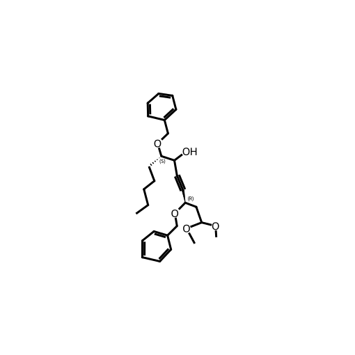 CCCCC[C@H](OCc1ccccc1)C(O)C#C[C@@H](CC(OC)OC)OCc1ccccc1